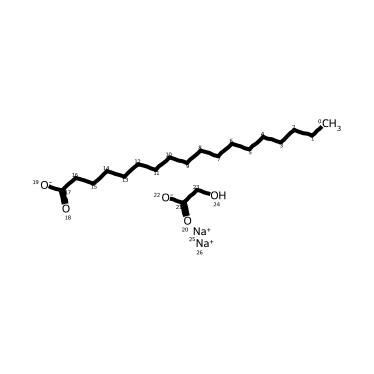 CCCCCCCCCCCCCCCCCC(=O)[O-].O=C([O-])CO.[Na+].[Na+]